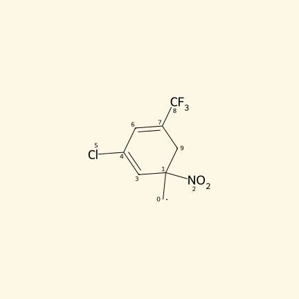 [CH2]C1([N+](=O)[O-])C=C(Cl)C=C(C(F)(F)F)C1